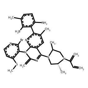 Bc1c(C)ccc(N)c1-c1nc2c(cc1C)C(N1C[C@@H](C)N(C(=C)C=C)CC1C)=NC(=C)N2c1c(SC)ccnc1Br